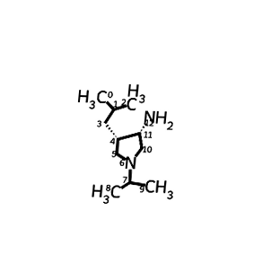 CC(C)C[C@H]1CN(C(C)C)C[C@H]1N